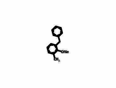 COc1c(C)cccc1Cc1ccccc1